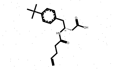 C=CCCC(=O)N[C@@H](CC(=O)O)Cc1ccc(C(C)(C)C)cc1